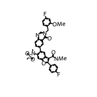 CNC(=O)c1c(-c2ccc(F)cc2)oc2cc(N(C)S(C)(=O)=O)c(-c3ccc4ncn(Cc5ccc(F)cc5OC)c(=O)c4c3)cc12